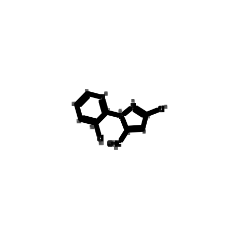 O=Cc1cc(Cl)nn1-c1ncccc1Cl